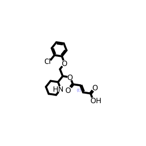 O=C(O)/C=C/C(=O)OC(COc1ccccc1Cl)C1CCCCN1